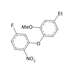 CCc1ccc(Oc2cc(F)ccc2[N+](=O)[O-])c(OC)c1